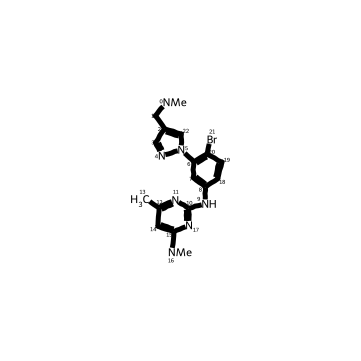 CNCc1cnn(-c2cc(Nc3nc(C)cc(NC)n3)ccc2Br)c1